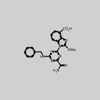 COc1nc2c(C(=O)O)cccc2n1-c1nc(NCc2ccccc2)nc(C(N)=O)n1